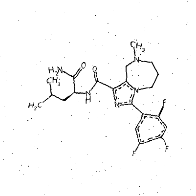 CC(C)C[C@H](NC(=O)c1nc(-c2cc(F)c(F)cc2F)n2c1CN(C)CCC2)C(N)=O